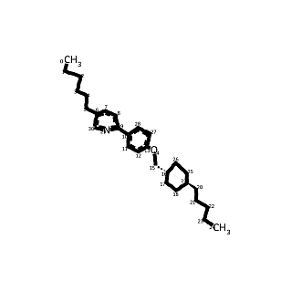 CCCCCCc1ccc(-c2ccc(OC[C@H]3CC[C@H](CCCCC)CC3)cc2)nc1